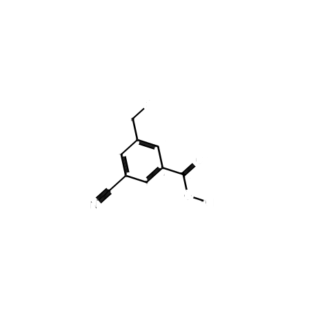 COC(=O)c1cc(C#N)cc(CCl)c1